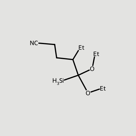 CCOC([SiH3])(OCC)C(CC)CCC#N